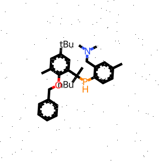 CCCCC(C)(Pc1ccc(C)cc1CN(C)C)c1cc(C(C)(C)C)cc(C)c1OCc1ccccc1